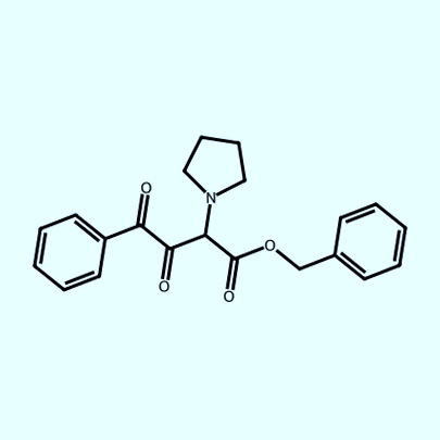 O=C(C(=O)C(C(=O)OCc1ccccc1)N1CCCC1)c1ccccc1